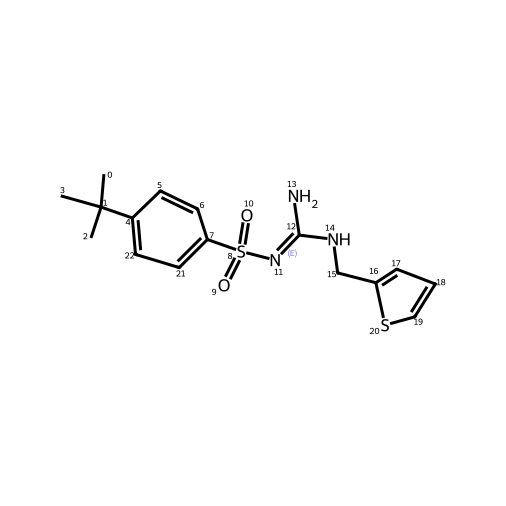 CC(C)(C)c1ccc(S(=O)(=O)/N=C(\N)NCc2cccs2)cc1